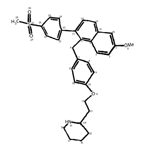 COc1ccc2c(Cc3ccc(OCCC4CCCCN4)cc3)c(-c3ccc(S(C)(=O)=O)cc3)ccc2c1